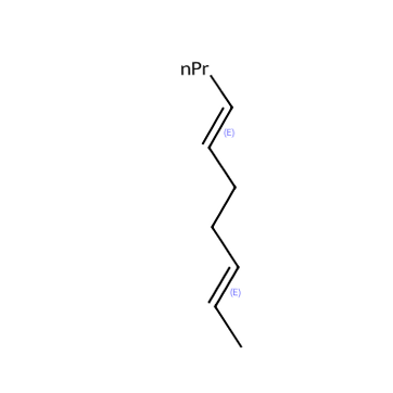 [CH2]CC/C=C/CC/C=C/C